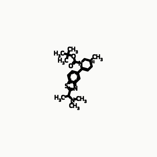 CC(c1nc2cc(C3=CC[C@H](C)CN3C(=O)OC(C)(C)C)ccc2s1)N(C)C